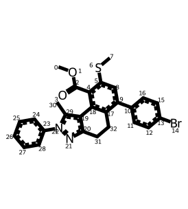 COC(=O)c1c(SC)cc(-c2ccc(Br)cc2)c2c1-c1c(nn(-c3ccccc3)c1C)CC2